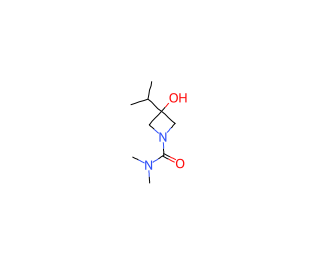 CC(C)C1(O)CN(C(=O)N(C)C)C1